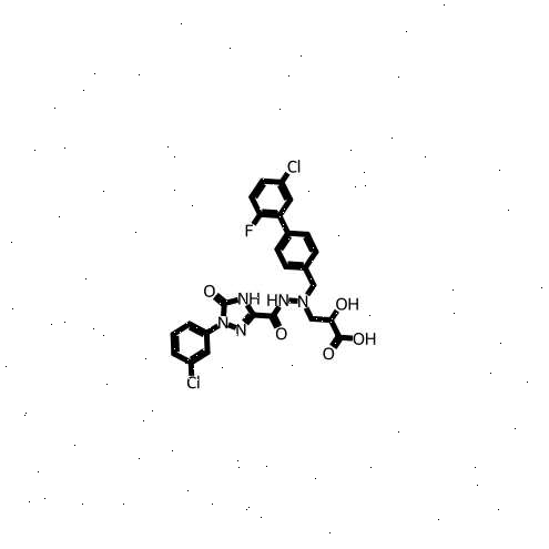 O=C(NN(Cc1ccc(-c2cc(Cl)ccc2F)cc1)CC(O)C(=O)O)c1nn(-c2cccc(Cl)c2)c(=O)[nH]1